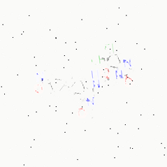 CN(C)C(=O)c1ccc(-c2ccc(C(CN3CCOCC3)NCC(=O)Cn3c(=O)cnc4cc(Cl)c(Cl)cc43)cc2)cc1